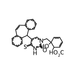 O=C(O)C1C=CC=CC1(O)Cn1cc(C2c3ccccc3C=Cc3ccccc32)c(=S)[nH]c1=O